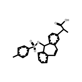 Cc1ccc(S(=O)(=O)OC2c3ccccc3C=Cc3cc(C(C)C(=O)O)ccc32)cc1